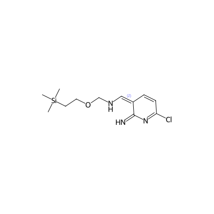 C[Si](C)(C)CCOCN/C=C1/C=CC(Cl)=NC1=N